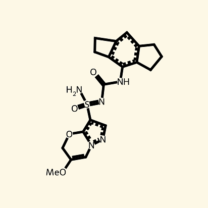 COC1=Cn2ncc(S(N)(=O)=NC(=O)Nc3c4c(cc5c3CC5)CCC4)c2OC1